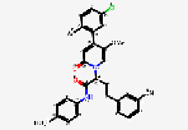 COc1cn([C@@H](CCc2cccc(C#N)c2)C(=O)Nc2ccc(C(=O)O)cc2)c(=O)cc1-c1cc(Cl)ccc1C(C)=O